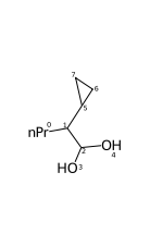 CCCC(C(O)O)C1CC1